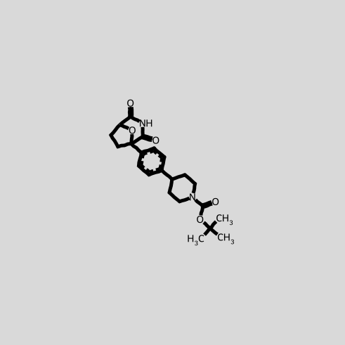 CC(C)(C)OC(=O)N1CCC(c2ccc(C34CCC(O3)C(=O)NC4=O)cc2)CC1